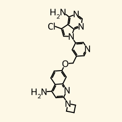 Nc1cc(N2CCC2)nc2cc(OCc3cncc(-n4cc(Cl)c5c(N)ncnc54)c3)ccc12